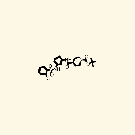 CC(C)(C)OC(=O)N1CCC(C(=O)Nc2cccc(NS(=O)(=O)c3ccccc3Cl)c2)CC1